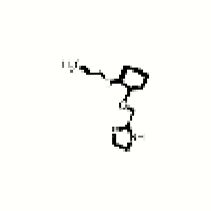 C=CCOc1ccccc1OC[C@H]1NCCS1